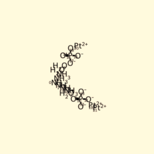 N.N.N.N.N.N.O.O.O.O=P([O-])([O-])[O-].O=P([O-])([O-])[O-].[Pt+2].[Pt+2].[Pt+2]